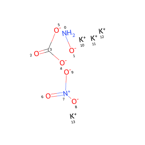 N[O-].O=C([O-])[O-].O=[N+]([O-])[O-].[K+].[K+].[K+].[K+]